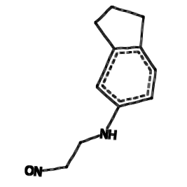 O=NCCNc1ccc2c(c1)CCC2